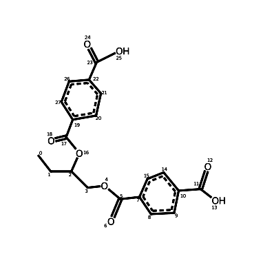 CCC(COC(=O)c1ccc(C(=O)O)cc1)OC(=O)c1ccc(C(=O)O)cc1